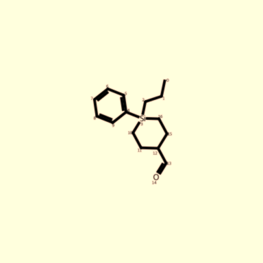 CCC[Si]1(c2ccccc2)CCC(C=O)CC1